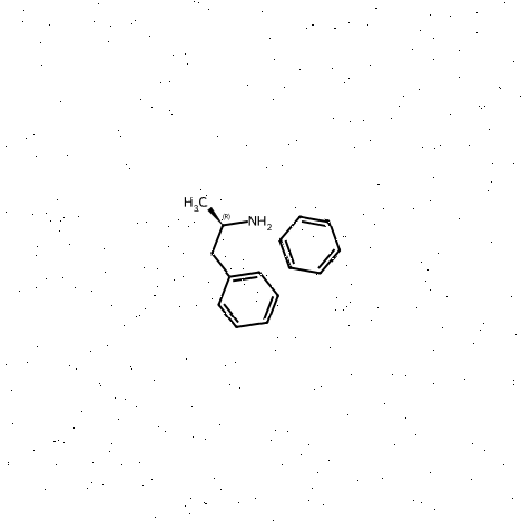 C[C@@H](N)Cc1ccccc1.c1ccccc1